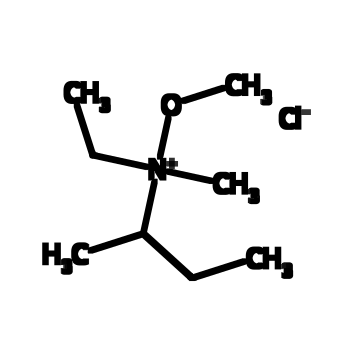 CCC(C)[N+](C)(CC)OC.[Cl-]